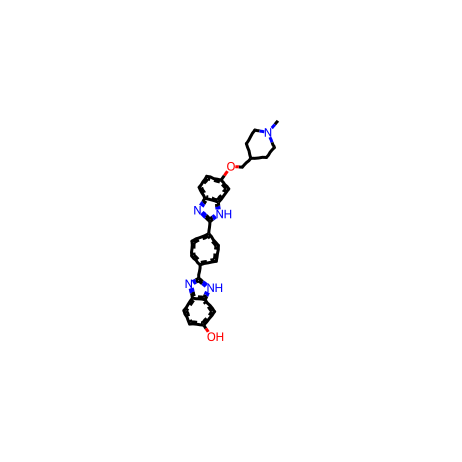 CN1CCC(COc2ccc3nc(-c4ccc(-c5nc6ccc(O)cc6[nH]5)cc4)[nH]c3c2)CC1